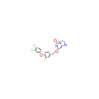 CN1CCn2c1cc(OCCc1ccc(Oc3ccc(F)c(F)c3)c(F)c1)nc2=O